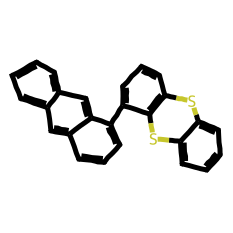 c1ccc2c(c1)Sc1cccc(-c3cccc4cc5ccccc5cc34)c1S2